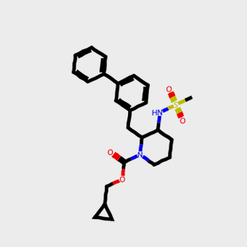 CS(=O)(=O)NC1CCCN(C(=O)OCC2CC2)C1Cc1cccc(-c2ccccc2)c1